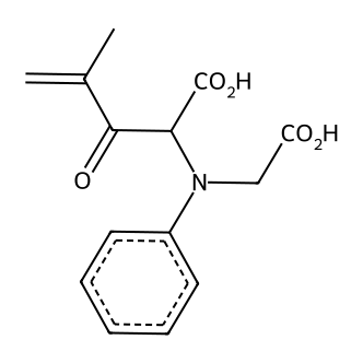 C=C(C)C(=O)C(C(=O)O)N(CC(=O)O)c1ccccc1